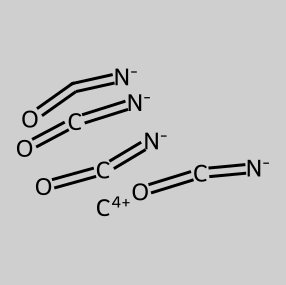 [C+4].[N-]=C=O.[N-]=C=O.[N-]=C=O.[N-]=C=O